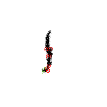 C=C(C(=O)OCCOC1CCC(C2CCC(C(=O)Oc3ccc4c(C=O)c(OC(=O)c5ccc(-c6ccc(C7CCC(CCCCC)CC7)cc6)cc5)ccc4c3)CC2)CC1)C(F)(F)F